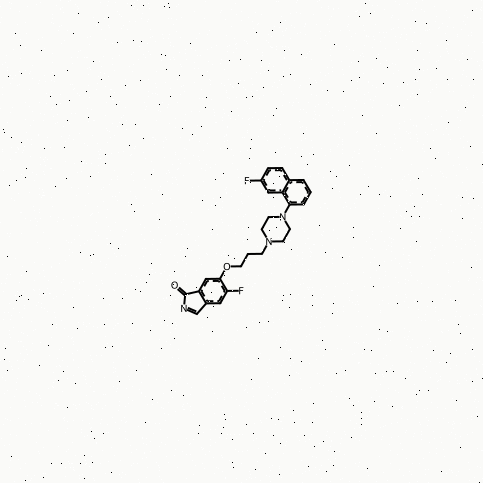 O=C1N=Cc2cc(F)c(OCCCN3CCN(c4cccc5ccc(F)cc45)CC3)cc21